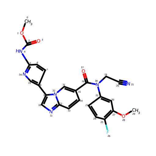 COC(=O)Nc1ccc(-c2cnc3ccc(C(=O)N(CC#N)c4ccc(F)c(OC)c4)cn23)cn1